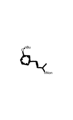 CCCCCCCCCC(C)C=Cc1cccc(OCCCC)c1